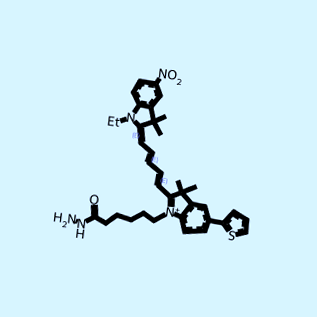 CCN1/C(=C/C=C/C=C/C2=[N+](CCCCCC(=O)NN)c3ccc(-c4cccs4)cc3C2(C)C)C(C)(C)c2cc([N+](=O)[O-])ccc21